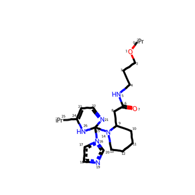 CC(C)OCCCNC(=O)CC1CCCCN1C1(n2ccnc2)N=CC=C(C(C)C)N1